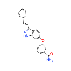 NC(=O)c1cccc(Oc2ccc3c(C=Cc4ccccc4)n[nH]c3c2)c1